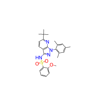 COc1ccccc1S(=O)(=O)Nc1nn(-c2c(C)cc(C)cc2C)c2nc(C(C)(C)C)ccc12